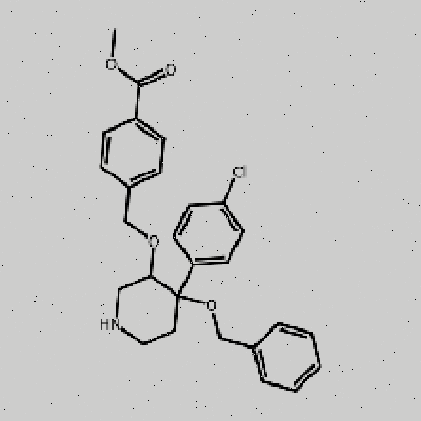 COC(=O)c1ccc(COC2CNCCC2(OCc2ccccc2)c2ccc(Cl)cc2)cc1